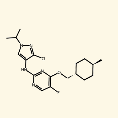 CC(C)n1cc(Nc2ncc(F)c(OC[C@H]3CC[C@H](C)CC3)n2)c(Cl)n1